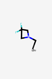 CC(C)(C)CN1CC(F)(F)C1